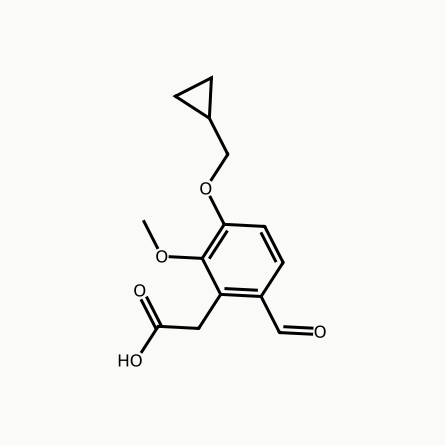 COc1c(OCC2CC2)ccc(C=O)c1CC(=O)O